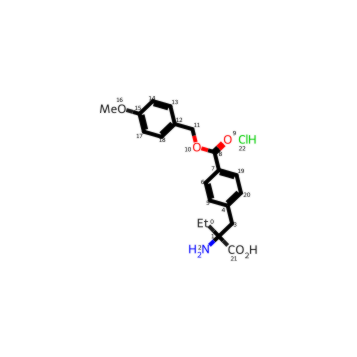 CCC(N)(Cc1ccc(C(=O)OCc2ccc(OC)cc2)cc1)C(=O)O.Cl